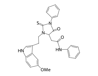 COc1ccc2[nH]cc(CCN3C(=S)N(c4ccccc4)C(=O)C3CC(=O)Nc3ccccc3)c2c1